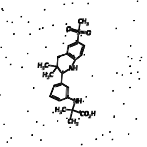 CC(C)(Nc1cccc(C2Nc3ccc(S(C)(=O)=O)cc3CC2(C)C)c1)C(=O)O